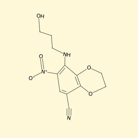 N#Cc1cc([N+](=O)[O-])c(NCCCO)c2c1OCCO2